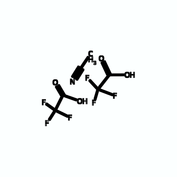 CC#N.O=C(O)C(F)(F)F.O=C(O)C(F)(F)F